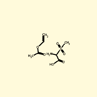 C=COC(C)=O.CS(=O)(=O)C(N)C(=O)O